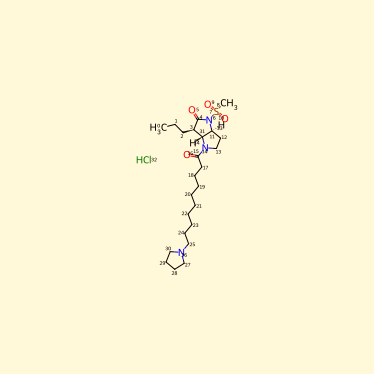 CCC[C@H]1C(=O)N(S(C)(=O)=O)[C@H]2CCN(C(=O)CCCCCCCCCN3CCCC3)[C@H]12.Cl